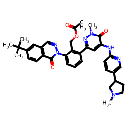 CC(=O)OCc1c(-c2cc(Nc3ccc(C4CCN(C)C4)cn3)c(=O)n(C)n2)cccc1-n1ncc2cc(C(C)(C)C)ccc2c1=O